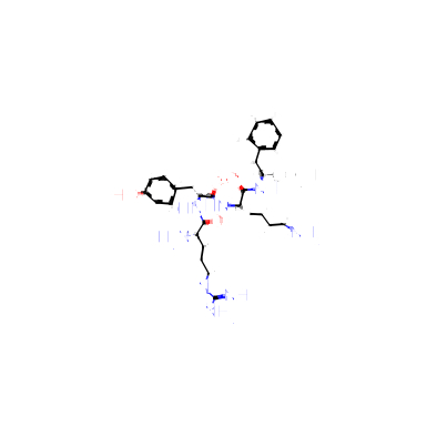 N=C(N)NCCC[C@H](N)C(=O)N[C@@H](Cc1ccc(O)cc1)C(=O)N[C@@H](CCCCN)C(=O)N[C@@H](Cc1ccccc1)C(=O)O